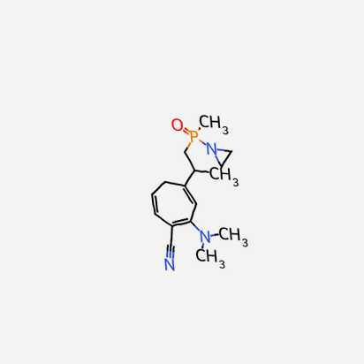 CC(CP(C)(=O)N1CC1)C1=CC(N(C)C)=C(C#N)C=CC1